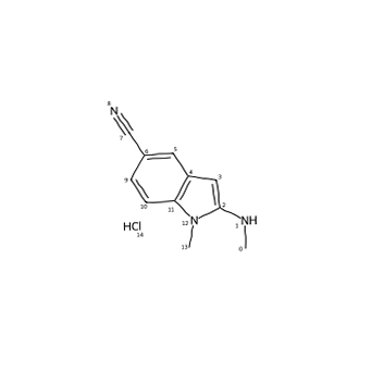 CNc1cc2cc(C#N)ccc2n1C.Cl